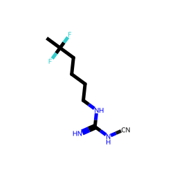 CC(F)(F)CCCCNC(=N)NC#N